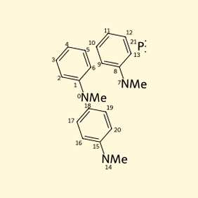 CNc1ccccc1.CNc1ccccc1.CNc1ccccc1.[P]